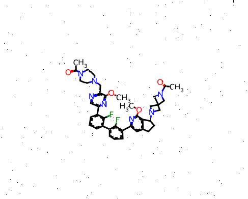 COc1nc(-c2cccc(-c3cccc(-c4cc5c(c(OC)n4)[C@@H](N4CC6(CN(C(C)=O)C6)C4)CC5)c3F)c2F)cnc1CN1CCN(C(C)=O)CC1